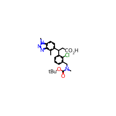 Cc1c(C(CC(=O)O)c2cccc(CN(C)C(=O)OC(C)(C)C)c2Cl)ccc2c1nnn2C